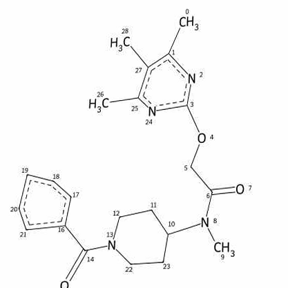 Cc1nc(OCC(=O)N(C)C2CCN(C(=O)c3ccccc3)CC2)nc(C)c1C